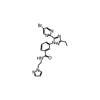 CCc1nc(-c2ncc(Br)cn2)n(-c2cccc(C(=O)NCCn3cccn3)c2)n1